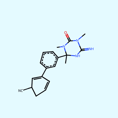 CN1C(=N)NC(C)(c2cccc(C3=CC(C#N)CC=C3)c2)N(C)C1=O